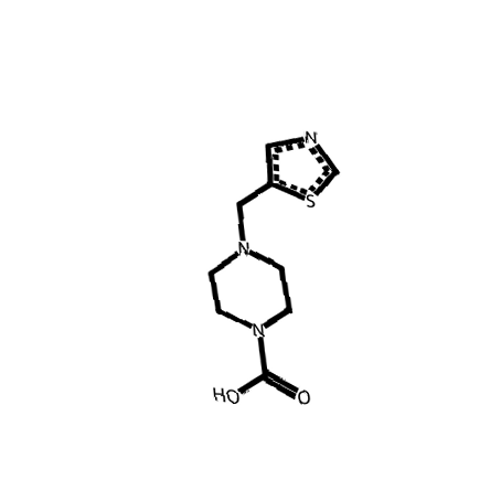 O=C(O)N1CCN(Cc2cncs2)CC1